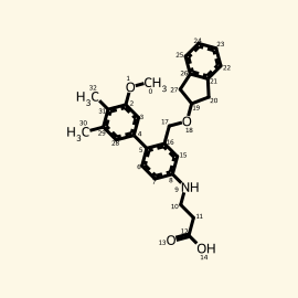 COc1cc(-c2ccc(NCCC(=O)O)cc2COC2Cc3ccccc3C2)cc(C)c1C